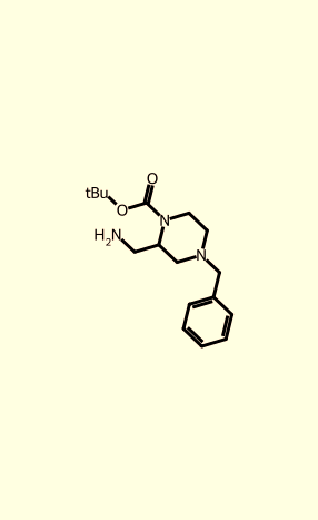 CC(C)(C)OC(=O)N1CCN(Cc2ccccc2)CC1CN